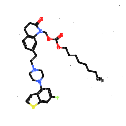 CCCCCCCCOC(=O)OCN1C(=O)CCc2ccc(CCN3CCN(c4cc(F)cc5sccc45)CC3)cc21